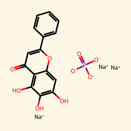 O=P([O-])([O-])[O-].O=c1cc(-c2ccccc2)oc2cc(O)c(O)c(O)c12.[Na+].[Na+].[Na+]